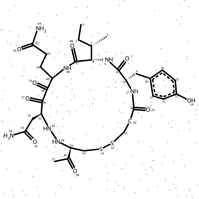 CC[C@H](C)[C@@H]1NC(=O)[C@H](Cc2ccc(O)cc2)NC(=O)CCSSC[C@@H](C(C)=O)NN[C@@H](CC(N)=O)C(=O)C(=O)C(CCC(N)=O)NC1=O